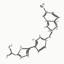 FC(F)c1nnc(-c2ccc(Cn3nc4ccc(Br)cc4n3)nc2)o1